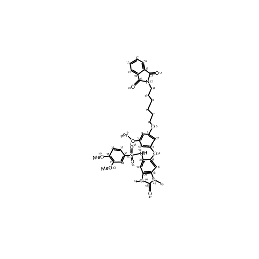 CCCOc1cc(OCCCCCCN2C(=O)c3ccccc3C2=O)cc(Oc2cc3c(cc2NS(=O)(=O)c2ccc(OC)c(OC)c2)n(C)c(=O)n3C)c1